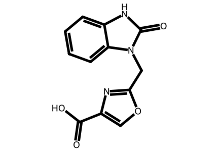 O=C(O)c1coc(Cn2c(=O)[nH]c3ccccc32)n1